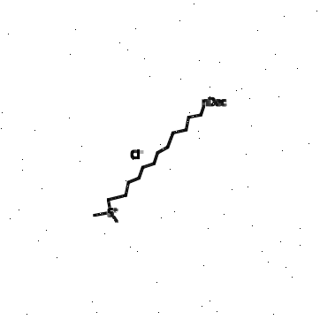 CCCCCCCCCCCCCCCCCCCCCC[S+](C)C.[Cl-]